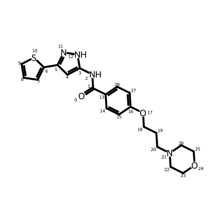 O=C(Nc1cc(-c2cccs2)n[nH]1)c1ccc(OCCCN2CCOCC2)cc1